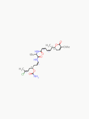 COC1=CC[C@@H]([C@@H](C)/C=C\C=C/C(=O)NC(C(=O)N/C=C\C[C@H](C/C=C(\C)Cl)OC(N)=O)C(C)(C)C)OC1=O